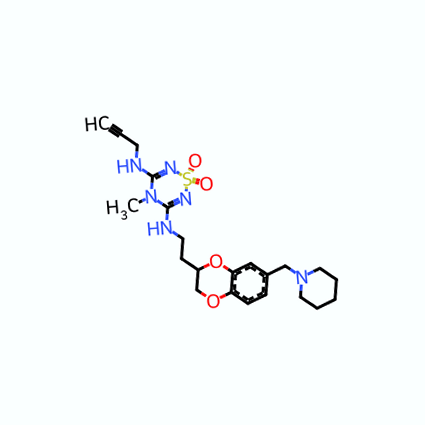 C#CCNC1=NS(=O)(=O)N=C(NCCC2COc3ccc(CN4CCCCC4)cc3O2)N1C